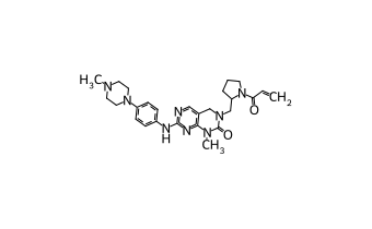 C=CC(=O)N1CCCC1CN1Cc2cnc(Nc3ccc(N4CCN(C)CC4)cc3)nc2N(C)C1=O